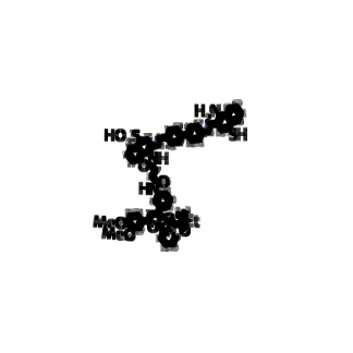 CCC(C)(C)C(=O)C(=O)N1CCCCC1C(=O)OC(CCc1ccc(OC)c(OC)c1)c1cccc(NC(=O)CCC(=O)Nc2c(/C=C/c3ccc(-c4ccc(/C=C/c5cc(S)c6ccccc6c5N)cc4)cc3)cc(S(=O)(=O)O)c3ccccc23)c1